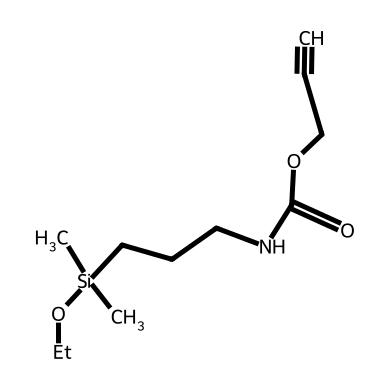 C#CCOC(=O)NCCC[Si](C)(C)OCC